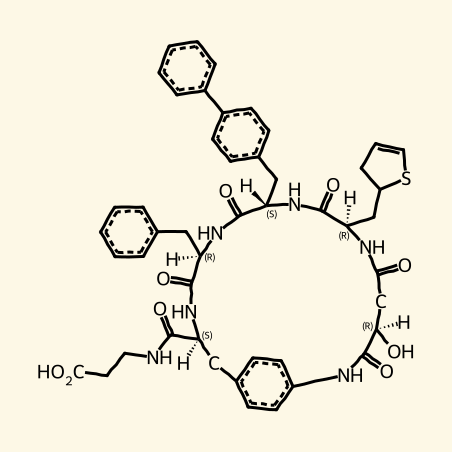 O=C(O)CCNC(=O)[C@@H]1Cc2ccc(cc2)NC(=O)[C@H](O)CC(=O)N[C@H](CC2CC=CS2)C(=O)N[C@@H](Cc2ccc(-c3ccccc3)cc2)C(=O)N[C@H](Cc2ccccc2)C(=O)N1